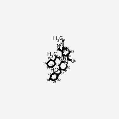 CCn1ncc2c(NC(C)C3CCCCC3)c(C(=O)N3CCC(O)(Cc4ccccc4)CC3)cnc21